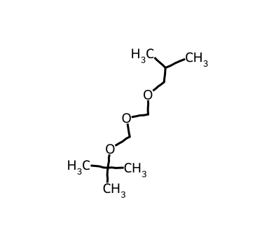 CC(C)COCOCOC(C)(C)C